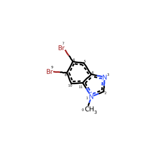 Cn1cnc2cc(Br)c(Br)cc21